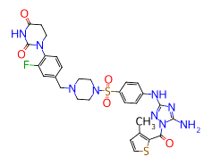 Cc1ccsc1C(=O)n1nc(Nc2ccc(S(=O)(=O)N3CCN(Cc4ccc(N5CCC(=O)NC5=O)c(F)c4)CC3)cc2)nc1N